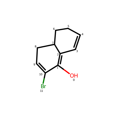 OC1=C2C=CCCC2CC=C1Br